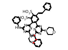 O=S(=O)(O)c1c(C=Cc2ccccc2)cc(-c2nc(Nc3ccccc3)nc(N3CCOCC3)n2)c(-c2nc(Nc3ccccc3)nc(N3CCOCC3)n2)c1S(=O)(=O)O